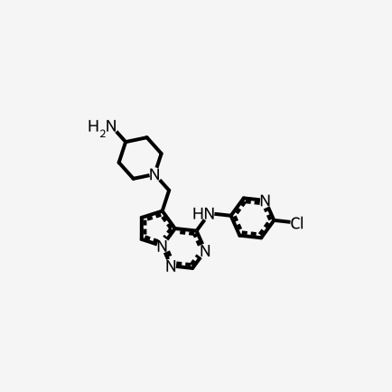 NC1CCN(Cc2ccn3ncnc(Nc4ccc(Cl)nc4)c23)CC1